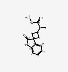 CN(C(=O)OC(C)(C)C)C1CC2(C1)C(=O)Nc1cccnc12